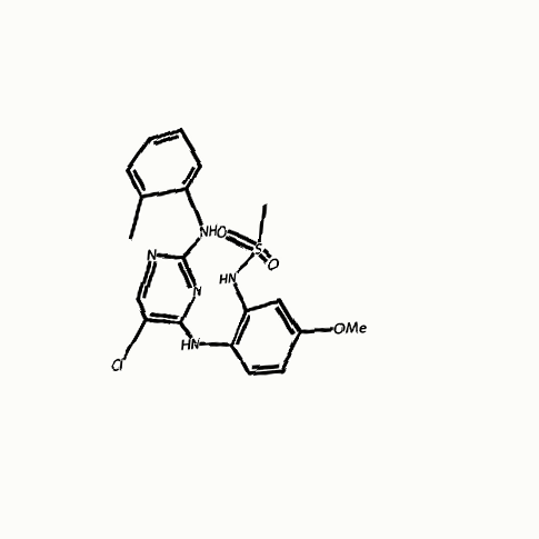 COc1ccc(Nc2nc(Nc3ccccc3C)ncc2Cl)c(NS(C)(=O)=O)c1